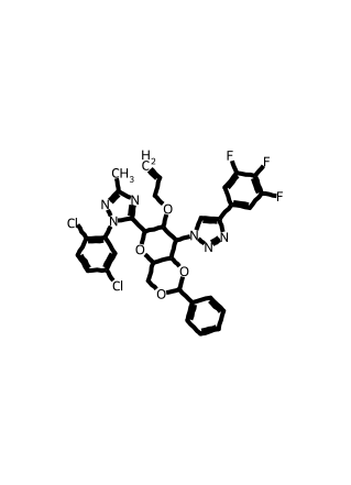 C=CCOC1C(c2nc(C)nn2-c2cc(Cl)ccc2Cl)OC2COC(c3ccccc3)OC2C1n1cc(-c2cc(F)c(F)c(F)c2)nn1